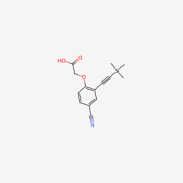 C[Si](C)(C)C#Cc1cc(C#N)ccc1OCC(=O)O